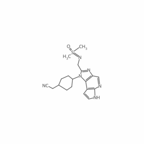 CS(C)(=O)=NCc1nc2cnc3[nH]ccc3c2n1C1CCC(CC#N)CC1